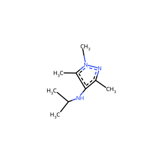 Cc1nn(C)c(C)c1NC(C)C